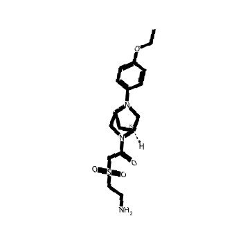 CCOc1ccc(N2C[C@@H]3CC2CN3C(=O)CS(=O)(=O)CCN)cc1